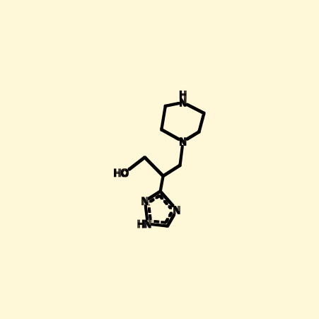 OCC(CN1CCNCC1)c1nc[nH]n1